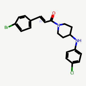 O=C(/C=C/c1ccc(Br)cc1)N1CCC(Nc2ccc(Cl)cc2)CC1